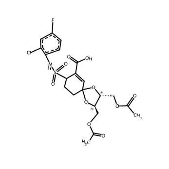 CC(=O)OC[C@H]1OC2(C=C(C(=O)O)C(S(=O)(=O)Nc3ccc(F)cc3Cl)CC2)O[C@@H]1COC(C)=O